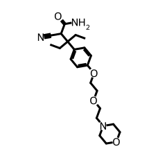 CCC(CC)(c1ccc(OCCOCCN2CCOCC2)cc1)C(C#N)C(N)=O